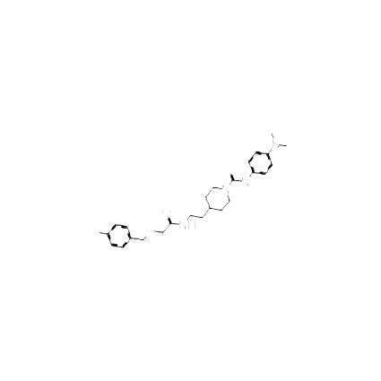 CN(C)c1ccc(NC(=O)N2CCC(CCNC(=O)COCc3ccc(F)cc3)CC2)cc1